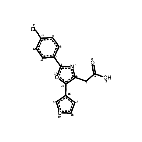 O=C(O)Cc1nc(-c2ccc(Cl)cc2)oc1-c1ccoc1